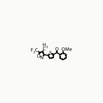 COc1ccccc1C(=O)c1ccc(-c2noc(C(F)(F)F)c2C)s1